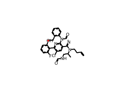 C=CCCN(/C(=N/C)c1cc(Cl)c(-c2c(O)cccc2F)nc1N(C=O)c1ccccc1CC)C(C)CNC=O